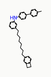 Cc1ccc(-c2ccc(Nc3cccc(CCCCCCCCc4ccc5c(c4)CC5)c3)cc2)cc1